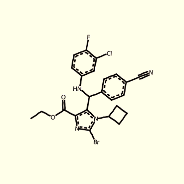 CCOC(=O)c1nc(Br)n(C2CCC2)c1C(Nc1ccc(F)c(Cl)c1)c1ccc(C#N)cc1